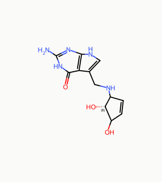 Nc1nc2[nH]cc(CNC3C=CC(O)[C@@H]3O)c2c(=O)[nH]1